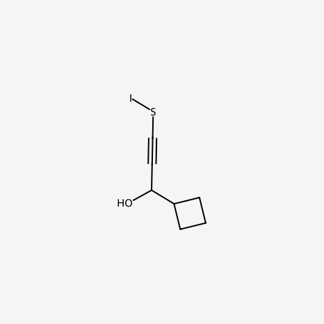 OC(C#CSI)C1CCC1